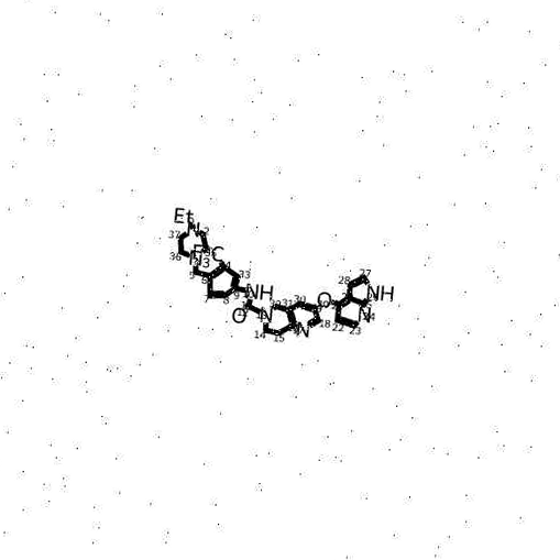 CCN1CCN(Cc2ccc(NC(=O)N3CCc4ncc(Oc5ccnc6[nH]ccc56)cc4C3)cc2C(F)(F)F)CC1